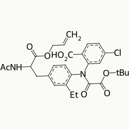 C=CCOC(=O)C(Cc1ccc(N(C(=O)C(=O)OC(C)(C)C)c2cc(Cl)ccc2C(=O)O)c(CC)c1)NC(C)=O